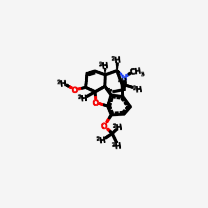 [2H]OC1C=C[C@]2([2H])[C@@]34CCN(C)[C@]2([2H])C([2H])([2H])c2ccc(OC([2H])([2H])[2H])c(c23)OC14[2H]